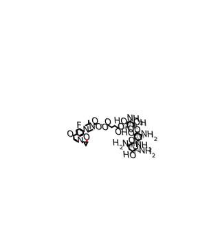 COc1c(N2CCN(C(=O)OCOC(=O)CCC(=O)OC[C@H]3O[C@H](O[C@@H]4[C@@H](O)[C@H](O[C@H]5O[C@H](CN)[C@@H](O)C[C@H]5N)[C@@H](N)C[C@H]4N)[C@H](O)[C@@H](N)[C@@H]3O)C(C)C2)c(F)cc2c(=O)ccn(C3CC3)c12